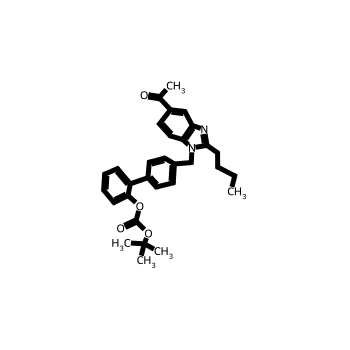 CCCCc1nc2cc(C(C)=O)ccc2n1Cc1ccc(-c2ccccc2OC(=O)OC(C)(C)C)cc1